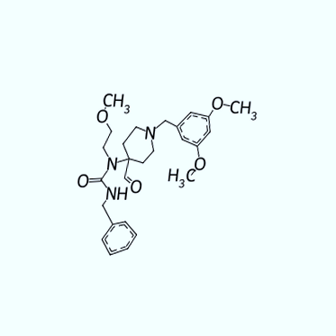 COCCN(C(=O)NCc1ccccc1)C1(C=O)CCN(Cc2cc(OC)cc(OC)c2)CC1